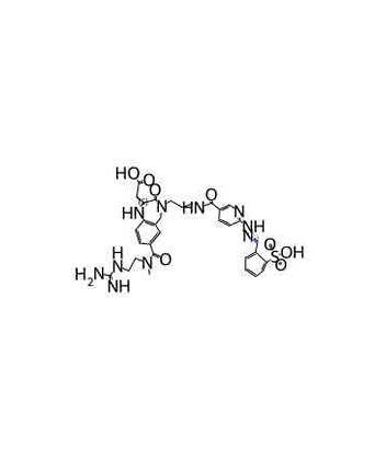 CN(CCNC(=N)N)C(=O)c1ccc2c(c1)CN(CCCNC(=O)c1ccc(N/N=C/c3ccccc3S(=O)(=O)O)nc1)C(=O)[C@H](CC(=O)O)N2